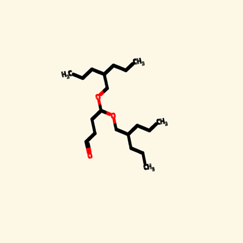 CCCC(CCC)COC(CCC=O)OCC(CCC)CCC